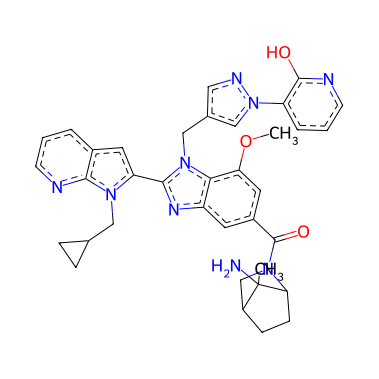 COc1cc(C(=O)N2CC3CCC2C3(C)N)cc2nc(-c3cc4cccnc4n3CC3CC3)n(Cc3cnn(-c4cccnc4O)c3)c12